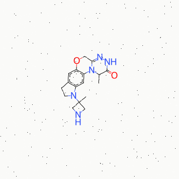 CC1C(=O)NN=C2COc3cc4c(cc3N21)N(C1(C)CNC1)CC4